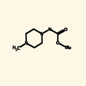 CN1CCN([N]C(=O)OC(C)(C)C)CC1